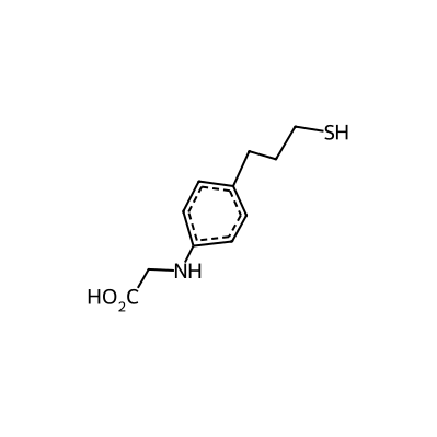 O=C(O)CNc1ccc(CCCS)cc1